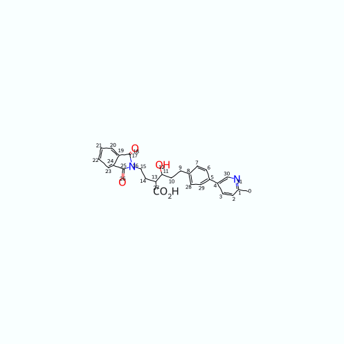 Cc1ccc(-c2ccc(CCC(O)C(CCN3C(=O)c4ccccc4C3=O)C(=O)O)cc2)cn1